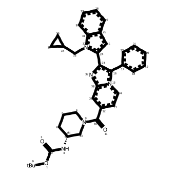 CC(C)(C)OC(=O)N[C@@H]1CCCN(C(=O)c2ccn3c(-c4ccccc4)c(-c4cc5ccccc5n4CC4CC4)nc3c2)C1